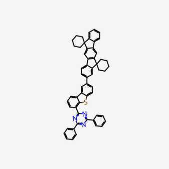 c1ccc(-c2nc(-c3ccccc3)nc(-c3cccc4c3sc3ccc(-c5ccc6c(c5)C5(CCCCC5)c5cc7c(cc5-6)C5(CCCCC5)c5ccccc5-7)cc34)n2)cc1